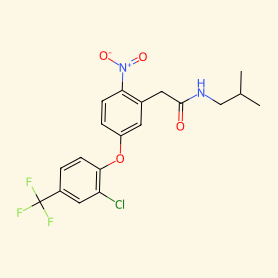 CC(C)CNC(=O)Cc1cc(Oc2ccc(C(F)(F)F)cc2Cl)ccc1[N+](=O)[O-]